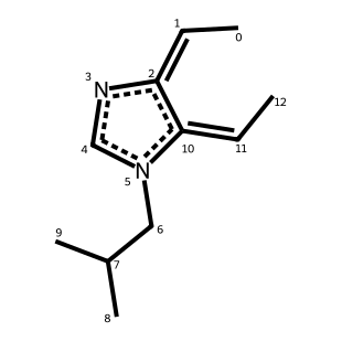 C/C=c1/ncn(CC(C)C)/c1=C/C